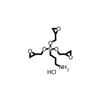 Cl.NCCC[Si](OCC1CO1)(OCC1CO1)OCC1CO1